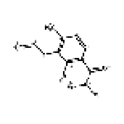 C=CCc1c(C)ccc(C(=O)N(CC)CC)c1O